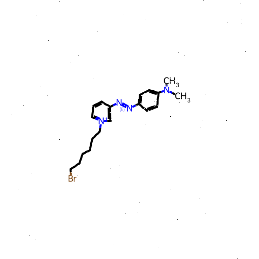 CN(C)c1ccc(/N=N/c2ccc[n+](CCCCCCBr)c2)cc1